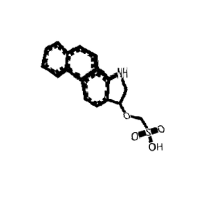 O=S(=O)(O)COC1CNc2c1ccc1c2ccc2ccccc21